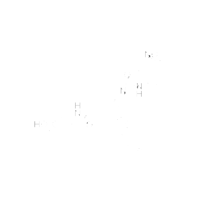 O=C(O)CCNC(=O)c1ccc(CN(C(=O)Nc2cccc([N+](=O)[O-])c2)c2ccc(C3CCCCC3)cc2)cc1